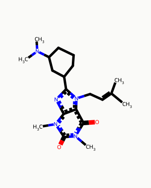 CC(C)=CCn1c(C2CCCC(N(C)C)C2)nc2c1c(=O)n(C)c(=O)n2C